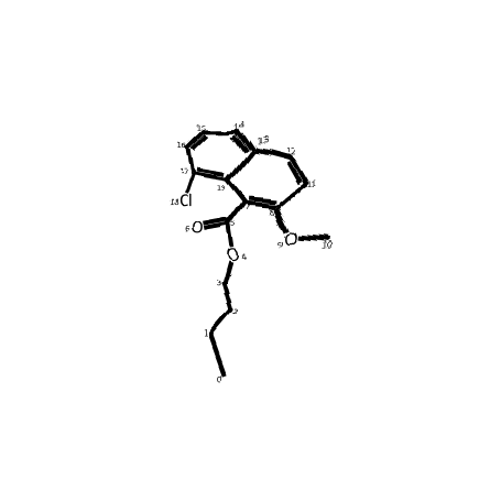 CCCCOC(=O)c1c(OC)ccc2cccc(Cl)c12